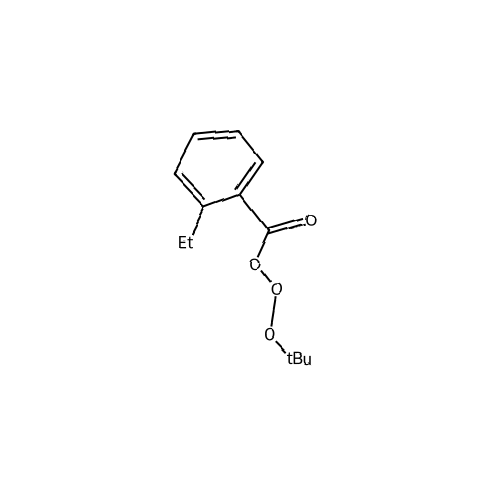 CCc1ccccc1C(=O)OOOC(C)(C)C